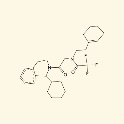 O=C(CN(CCC1=CCCCC1)C(=O)C(F)(F)F)N1CCc2ccccc2C1C1CCCCC1